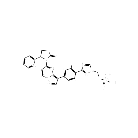 O=C1OCC(c2ccccn2)N1c1ccn2ncc(-c3ccc(-c4ncn(COP(=O)(O)O)n4)c(F)c3)c2n1